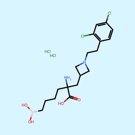 Cl.Cl.NC(CCCCB(O)O)(CC1CN(CCc2ccc(Cl)cc2Cl)C1)C(=O)O